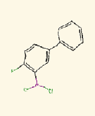 Fc1ccc(-c2ccccc2)cc1P(Cl)Cl